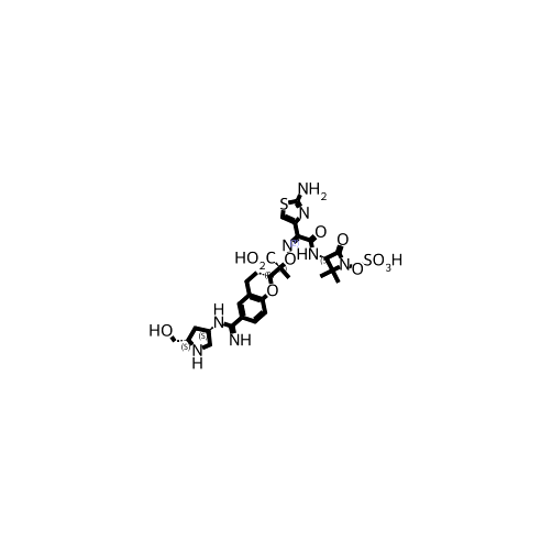 CC1(C)[C@H](NC(=O)/C(=N\O[C@](C)(C(=O)O)[C@H]2CCc3cc(C(=N)N[C@@H]4CN[C@H](CO)C4)ccc3O2)c2csc(N)n2)C(=O)N1OS(=O)(=O)O